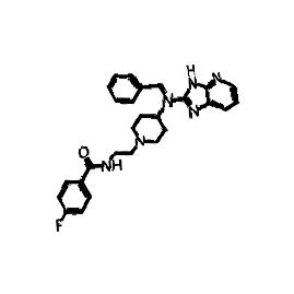 O=C(NCCN1CCC(N(Cc2ccccc2)c2nc3cccnc3[nH]2)CC1)c1ccc(F)cc1